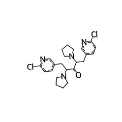 O=C(C(Cc1ccc(Cl)nc1)N1CCCC1)C(Cc1ccc(Cl)nc1)N1CCCC1